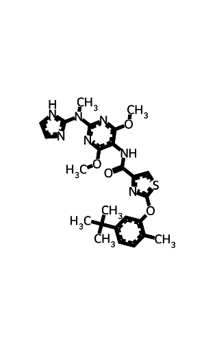 COc1nc(N(C)c2ncc[nH]2)nc(OC)c1NC(=O)c1csc(Oc2cc(C(C)(C)C)ccc2C)n1